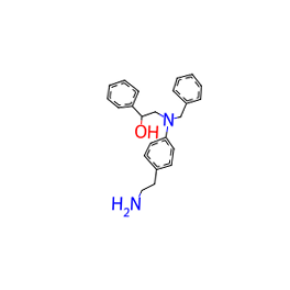 NCCc1ccc(N(Cc2ccccc2)CC(O)c2ccccc2)cc1